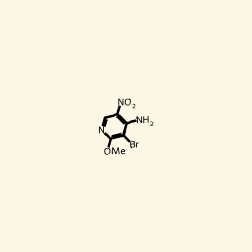 COc1ncc([N+](=O)[O-])c(N)c1Br